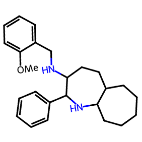 COc1ccccc1CNC1CCC2CCCCCC2NC1c1ccccc1